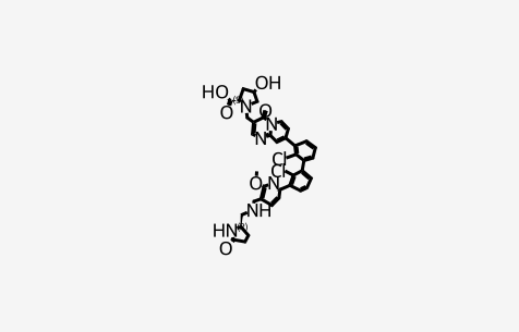 COc1nc(-c2cccc(-c3cccc(-c4ccn5c(=O)c(CN6CC(O)C[C@H]6C(=O)O)cnc5c4)c3Cl)c2Cl)ccc1CNC[C@H]1CCC(=O)N1